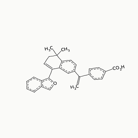 C=C(c1ccc(C(=O)O)cc1)c1ccc2c(c1)C(c1occ3ccccc13)=CCC2(C)C